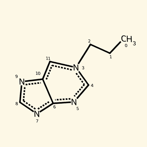 CCCn1cnc2ncnc-2c1